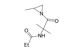 CCC(=O)NC(C)(C)C(=O)N1CC1C